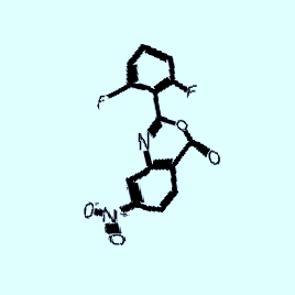 O=c1oc(-c2c(F)cccc2F)nc2cc([N+](=O)[O-])ccc12